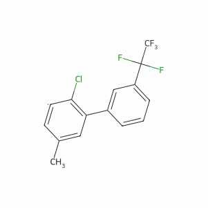 Cc1c[c]c(Cl)c(-c2cccc(C(F)(F)C(F)(F)F)c2)c1